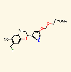 COCCOCOc1cncc(C(CC(C)C)Oc2ccc(C#N)c(CF)c2)c1